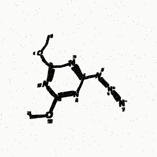 COc1nc(N=[N+]=[N-])nc(OC)n1